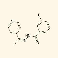 CC(=NNC(=O)c1cccc(F)c1)c1ccncc1